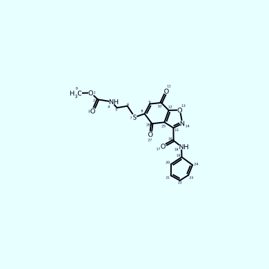 COC(=O)NCCSC1=CC(=O)c2onc(C(=O)Nc3ccccc3)c2C1=O